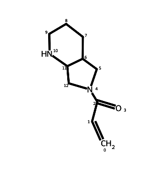 C=CC(=O)N1CC2CCCNC2C1